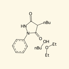 CCCCC1C(=O)NN(c2ccccc2)C1=O.CCCCO.CCOCC